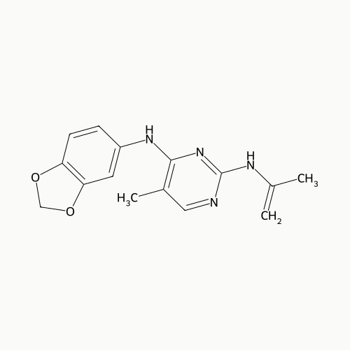 C=C(C)Nc1ncc(C)c(Nc2ccc3c(c2)OCO3)n1